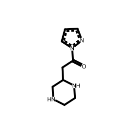 O=C(CC1CNCCN1)n1cccn1